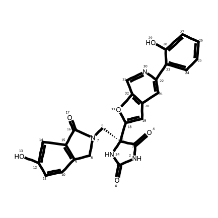 O=C1NC(=O)[C@](CN2Cc3ccc(O)cc3C2=O)(c2cc3cc(-c4ccccc4O)ncc3o2)N1